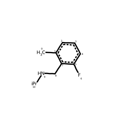 Cc1cccc(F)c1CNC(C)C